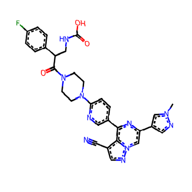 Cn1cc(-c2cn3ncc(C#N)c3c(-c3ccc(N4CCN(C(=O)C(CNC(=O)O)c5ccc(F)cc5)CC4)nc3)n2)cn1